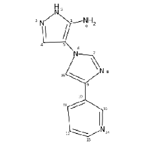 Nc1[nH]ncc1-n1cnc(-c2cccnc2)c1